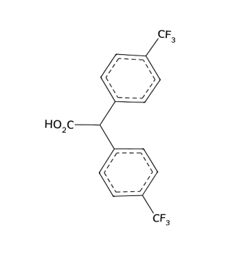 O=C(O)C(c1ccc(C(F)(F)F)cc1)c1ccc(C(F)(F)F)cc1